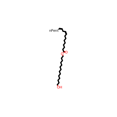 CCCCC/C=C\C/C=C\CCCCCCCC(=O)OCCCCCCCCCCCCCCO